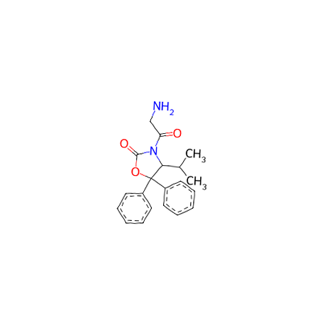 CC(C)C1N(C(=O)CN)C(=O)OC1(c1ccccc1)c1ccccc1